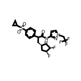 O=C(Nc1ccn(CC(F)(F)F)n1)C(C[C@H]1C[C@@H](F)[C@@H](F)C1)c1ccc(S(=O)(=O)C2CC2)cc1